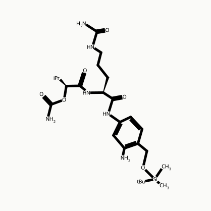 CC(C)[C@H](OC(N)=O)C(=O)N[C@@H](CCCNC(N)=O)C(=O)Nc1ccc(CO[Si](C)(C)C(C)(C)C)c(N)c1